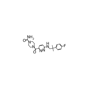 CC(C)(CNc1ccc(C(=O)N2CCN(C(N)=O)CC2)nn1)c1ccc(F)cc1